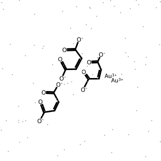 O=C([O-])/C=C\C(=O)[O-].O=C([O-])/C=C\C(=O)[O-].O=C([O-])/C=C\C(=O)[O-].[Au+3].[Au+3]